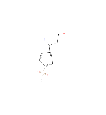 CCS(=O)(=O)c1ccc(C(N)CCO)cc1